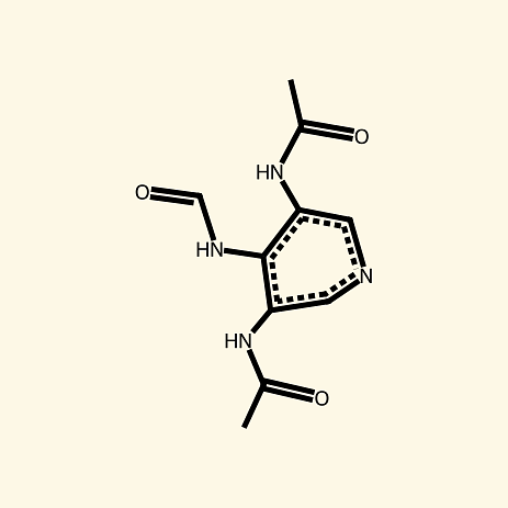 CC(=O)Nc1cncc(NC(C)=O)c1NC=O